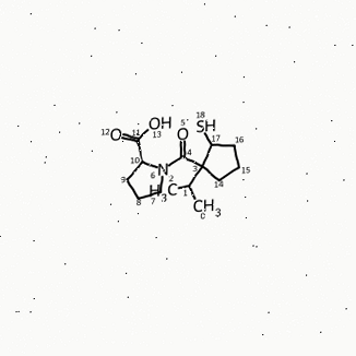 CC(C)C1(C(=O)N2CCC[C@H]2C(=O)O)CCCC1S